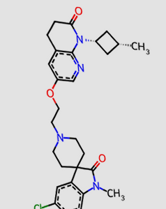 CN1C(=O)C2(CCN(CCOc3cnc4c(c3)CCC(=O)N4[C@H]3C[C@@H](C)C3)CC2)c2cc(Cl)ccc21